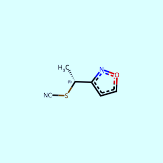 C[C@@H](SC#N)c1ccon1